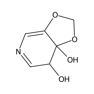 OC1C=NC=C2OCOC21O